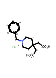 Cl.O=C(O)CC1(CC(=O)O)CCN(Cc2ccccc2)CC1